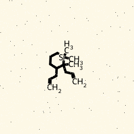 C=CCC1CCC[Si](C)(C)C1(C)CC=C